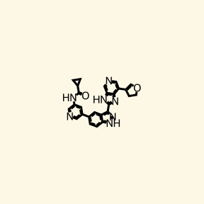 O=C(Nc1cncc(-c2ccc3[nH]nc(-c4nc5c(C6=COCC6)cncc5[nH]4)c3c2)c1)C1CC1